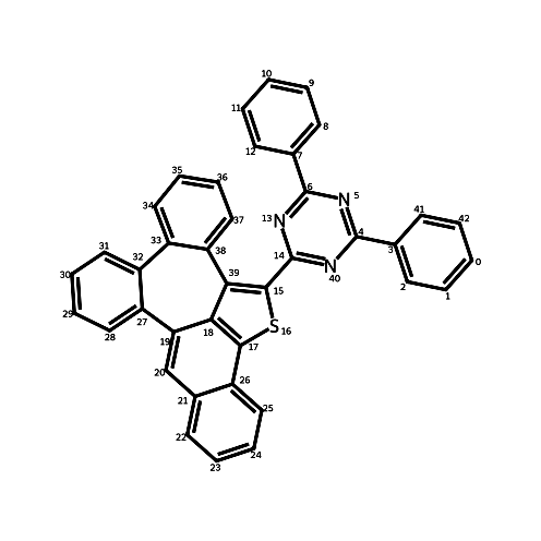 c1ccc(-c2nc(-c3ccccc3)nc(-c3sc4c5c(cc6ccccc64)-c4ccccc4-c4ccccc4-c35)n2)cc1